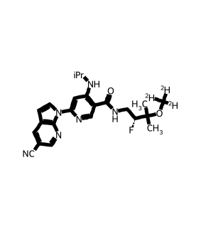 [2H]C([2H])([2H])OC(C)(C)[C@H](F)CNC(=O)c1cnc(-n2ccc3cc(C#N)cnc32)cc1NC(C)C